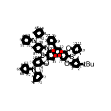 CC(C)(C)c1ccc2c(c1)B1c3ccccc3Oc3cc(-c4cc5c6c(c4)N(c4ccccc4-c4ccccc4)c4cc(N(c7ccccc7)c7ccccc7)ccc4B6c4ccc(N(c6ccccc6)c6ccccc6)cc4O5)cc(c31)O2